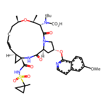 COc1ccc2c(O[C@@H]3C[C@H]4C(=O)N[C@]5(C(=O)NS(=O)(=O)C6(C)CC6)C[C@H]5/C=C\CC[C@@H](C)O[C@@H](C)[C@H](N(C(=O)O)C(C)(C)C)C(=O)N4C3)nccc2c1